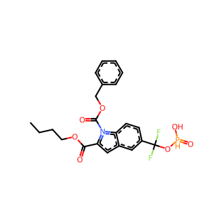 CCCCOC(=O)c1cc2cc(C(F)(F)O[PH](=O)O)ccc2n1C(=O)OCc1ccccc1